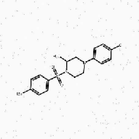 CC1CN(c2ccc(Cl)cc2)CCN1S(=O)(=O)c1ccc(C(C)(C)C)cc1